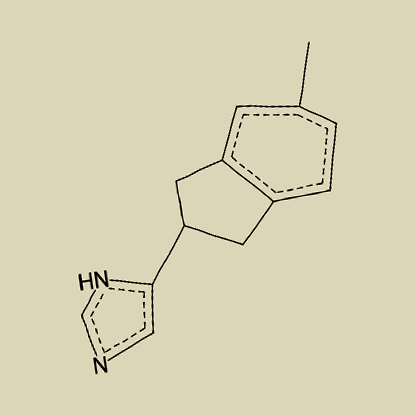 Cc1ccc2c(c1)CC(c1cnc[nH]1)C2